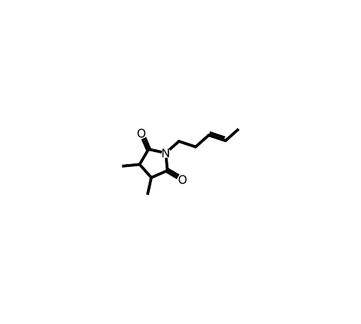 CC=CCCN1C(=O)C(C)C(C)C1=O